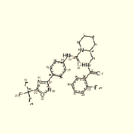 O=C(NCC1CCCCN1C(=O)Nc1ccc(-c2noc(C(F)(F)F)n2)cc1)c1ccccc1F